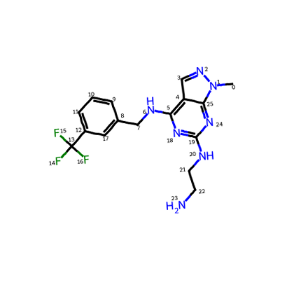 Cn1ncc2c(NCc3cccc(C(F)(F)F)c3)nc(NCCN)nc21